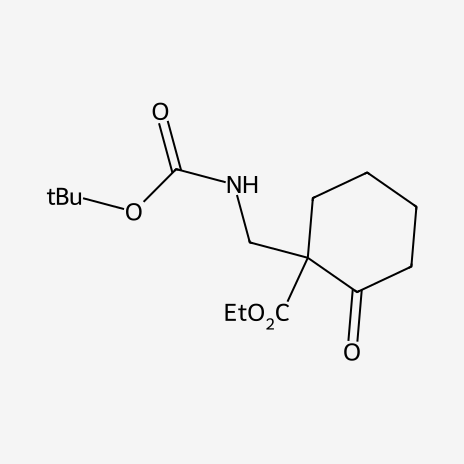 CCOC(=O)C1(CNC(=O)OC(C)(C)C)CCCCC1=O